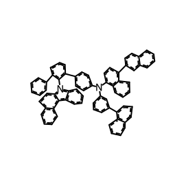 c1ccc(-c2cccc(-c3ccc(N(c4cccc(-c5cccc6ccccc56)c4)c4ccc(-c5ccc6ccccc6c5)c5ccccc45)cc3)c2-n2c3ccccc3c3c4ccccc4ccc32)cc1